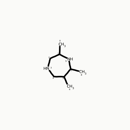 CC1CNCC(C)C(C)N1